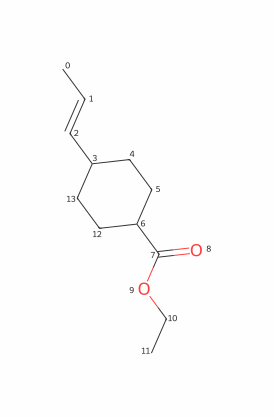 CC=CC1CCC(C(=O)OCC)CC1